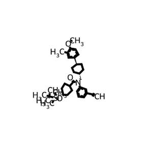 C#Cc1cccc(N(C[C@H]2CC[C@H](c3ccc(OC)c(C)c3)CC2)C(=O)C2CCC(O[Si](C)(C)C(C)(C)C)CC2)c1